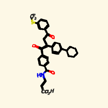 O=C(O)CCNC(=O)c1ccc(C(=O)C(CC(=O)c2cccc(SC(F)(F)F)c2)c2ccc(C3CCCCC3)cc2)cc1